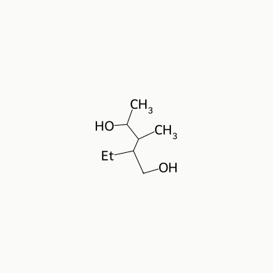 CCC(CO)C(C)C(C)O